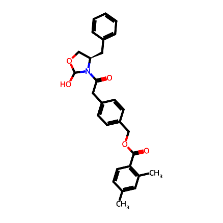 Cc1ccc(C(=O)OCc2ccc(CC(=O)N3C(O)OC[C@H]3Cc3ccccc3)cc2)c(C)c1